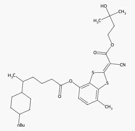 CCCCC1CCC(C(C)CCCC(=O)Oc2ccc(C)c3c2S/C(=C(/C#N)C(=O)OCCC(C)(C)O)S3)CC1